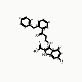 O=C(CCNc1c(C(=O)O)[nH]c2cc(Cl)cc(Cl)c12)c1ccccc1Cc1ccccc1